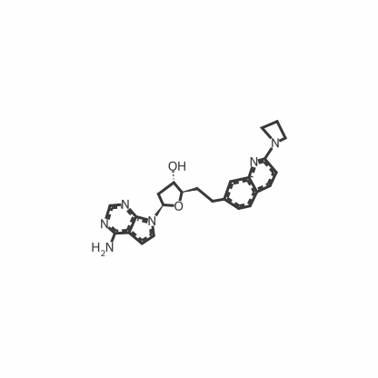 Nc1ncnc2c1ccn2[C@H]1C[C@H](O)[C@@H](CCc2ccc3ccc(N4CCC4)nc3c2)O1